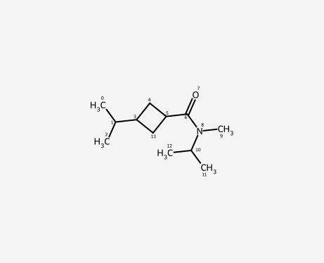 CC(C)C1CC(C(=O)N(C)C(C)C)C1